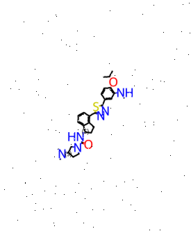 CNc1cc(-c2nnc(-c3cccc4c3CC[C@@H]4NC(=O)N3CC[C@H](N(C)C)C3)s2)ccc1OC(C)C